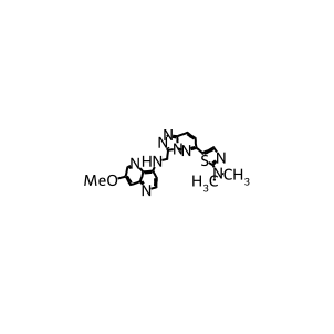 COc1cnc2c(NCc3nnc4ccc(-c5cnc(N(C)C)s5)nn34)ccnc2c1